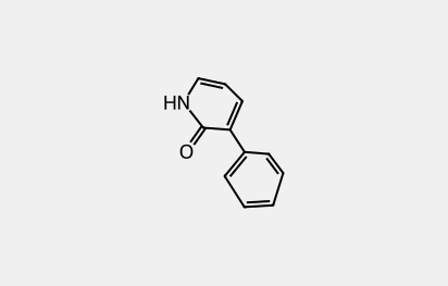 O=c1[nH]cccc1-c1ccccc1